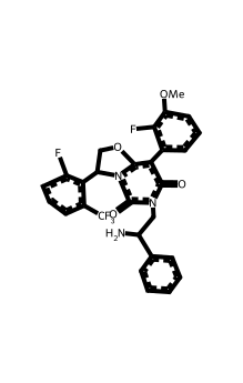 COc1cccc(-c2c3n(c(=O)n(CC(N)c4ccccc4)c2=O)C(c2c(F)cccc2C(F)(F)F)CO3)c1F